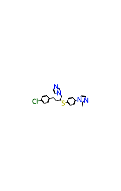 Cc1nccn1-c1ccc(SC(CCc2ccc(Cl)cc2)Cn2ccnc2)cc1